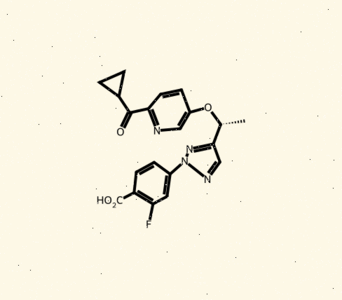 C[C@@H](Oc1ccc(C(=O)C2CC2)nc1)c1cnn(-c2ccc(C(=O)O)c(F)c2)n1